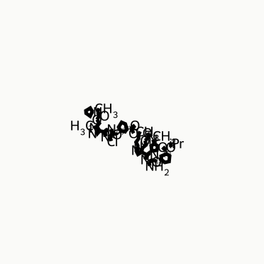 CC(C)OC(=O)[C@H]1CCC[C@H](Oc2ncc(-c3cnn(CCC(C)OC(=O)[C@H]4CCC[C@H](Oc5ncc(-c6cnn(C)c6COC(=O)N(C)C6CCCC6)nc5Cl)C4)c3COC(=O)N(C)C3CCCC3)nc2N)C1